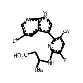 CC(C)(C)C(CC(=O)O)Nc1nc(-c2c[nH]c3ncc(Cl)cc23)c(C#N)cc1F